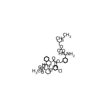 CCCCC(CC)COC(=O)ONC(N)c1cccc(CONC(=O)[C@@H]2c3ccccc3C(=O)N([C@H]3CCCC[C@@H]3NS(C)(=O)=O)[C@H]2c2ccc(Cl)cc2Cl)c1